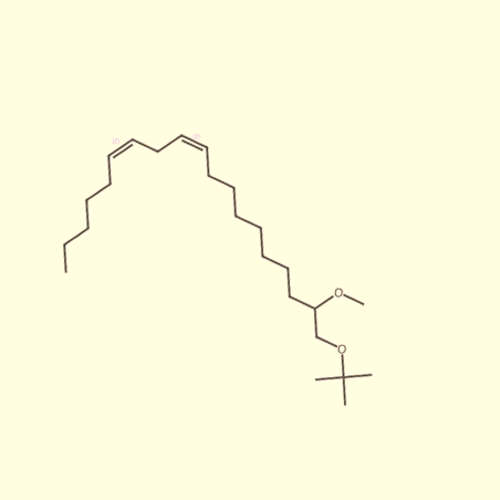 CCCCC/C=C\C/C=C\CCCCCCCC(COC(C)(C)C)OC